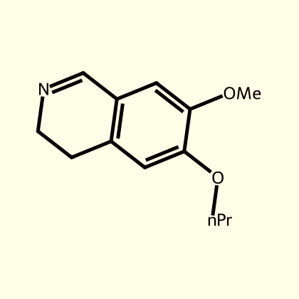 CCCOc1cc2c(cc1OC)C=NCC2